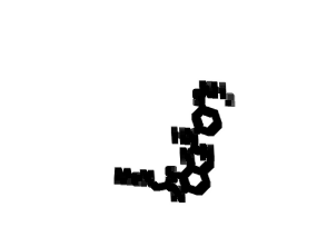 CNCc1nc2ccc3cnc(Nc4cccc(SN)c4)nc3c2s1